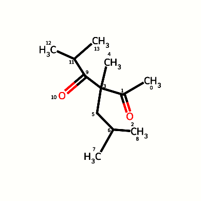 CC(=O)C(C)(CC(C)C)C(=O)C(C)C